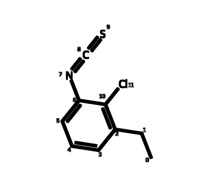 CCc1cccc(N=C=S)c1Cl